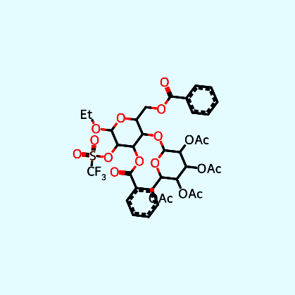 CCOC1OC(COC(=O)c2ccccc2)C(OC2OC(COC(C)=O)C(OC(C)=O)C(OC(C)=O)C2OC(C)=O)C(OC(=O)c2ccccc2)C1OS(=O)(=O)C(F)(F)F